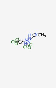 CCN1CCC(CNc2nc(-c3ccc(C(Cl)(Cl)Cl)cc3)nc(C(Cl)(Cl)Cl)n2)C1